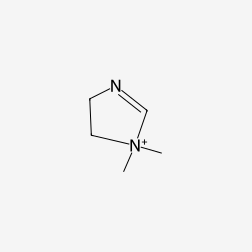 C[N+]1(C)C=NCC1